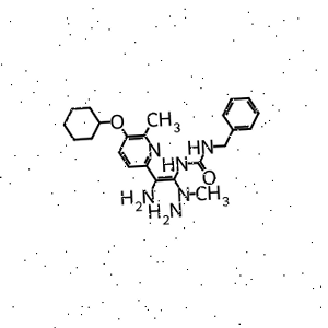 Cc1nc(/C(N)=C(\NC(=O)NCc2ccccc2)N(C)N)ccc1OC1CCCCC1